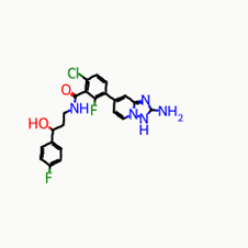 NC1N=C2C=C(c3ccc(Cl)c(C(=O)NCCC(O)c4ccc(F)cc4)c3F)C=CN2N1